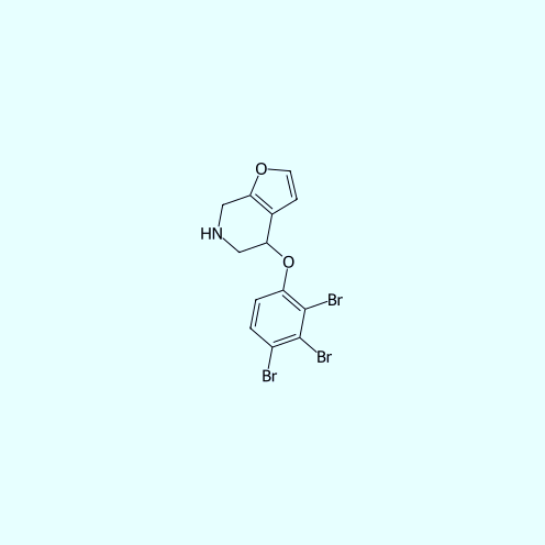 Brc1ccc(OC2CNCc3occc32)c(Br)c1Br